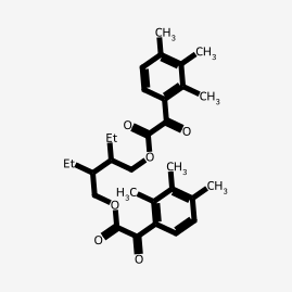 CCC(COC(=O)C(=O)c1ccc(C)c(C)c1C)C(CC)COC(=O)C(=O)c1ccc(C)c(C)c1C